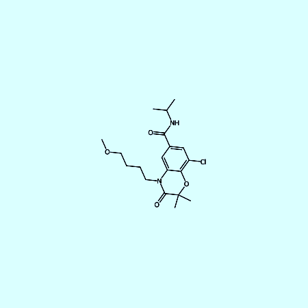 COCCCCN1C(=O)C(C)(C)Oc2c(Cl)cc(C(=O)NC(C)C)cc21